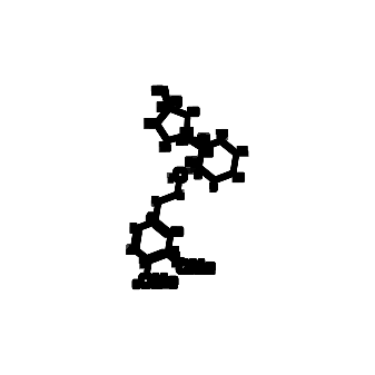 COc1ccc(CCO[C@H]2CCCC[C@@H]2N2CC[C@@H](C)C2)cc1OC